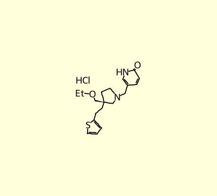 CCOC[C@@]1(CCc2cccs2)CCN(Cc2ccc(=O)[nH]c2)C1.Cl